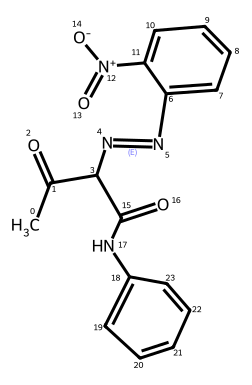 CC(=O)C(/N=N/c1ccccc1[N+](=O)[O-])C(=O)Nc1ccccc1